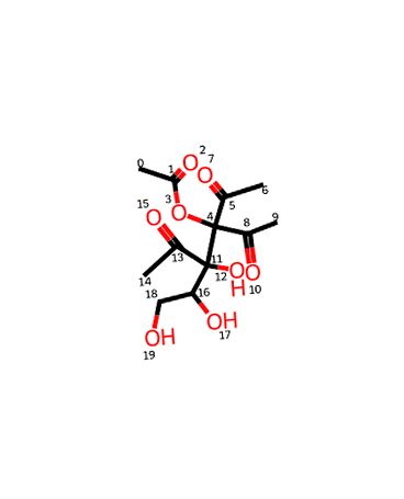 CC(=O)OC(C(C)=O)(C(C)=O)C(O)(C(C)=O)C(O)CO